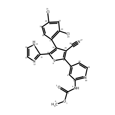 COC(=O)Nc1cc(-c2sc(-c3ncc[nH]3)c(-c3ccc(Cl)cc3Cl)c2C#N)ccn1